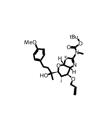 C=CCO[C@H]1[C@H](C)[C@@H](C(C)(O)CCc2ccc(OC)cc2)O[C@@H]2SC(N(C)C(=O)OC(C)(C)C)=N[C@H]12